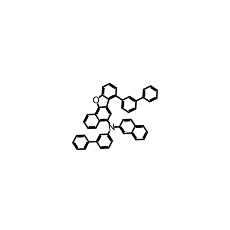 c1ccc(-c2cccc(-c3cccc4oc5c6ccccc6c(N(c6cccc(-c7ccccc7)c6)c6ccc7ccccc7c6)cc5c34)c2)cc1